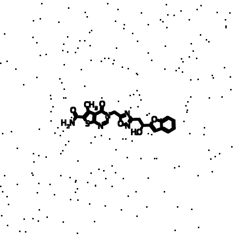 Cc1c(C(N)=O)sc2ncn(Cc3nc(C[C@H](O)c4cc5ccccc5o4)no3)c(=O)c12